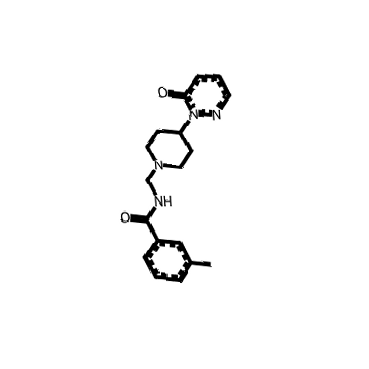 Cc1cccc(C(=O)NCN2CCC(n3ncccc3=O)CC2)c1